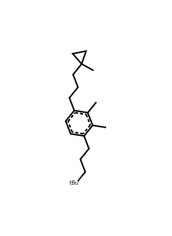 Cc1c(CCCC(C)(C)C)ccc(CCCC2(C)CC2)c1C